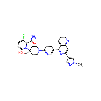 Cn1cc(-c2cc3ncccc3c(-c3ccc(N4CCC(CO)(N5C=CC=C(Cl)C5C(N)=O)CC4)nc3)n2)cn1